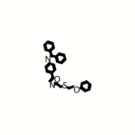 c1ccc(OCCSCc2ncc(-c3ccc(N=C(c4ccccc4)c4ccccc4)cc3)o2)cc1